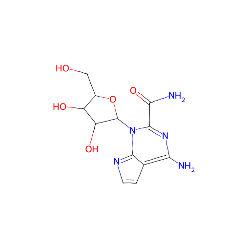 NC(=O)c1nc(N)c2ccnc-2n1C1OC(CO)C(O)C1O